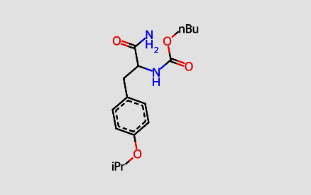 CCCCOC(=O)NC(Cc1ccc(OC(C)C)cc1)C(N)=O